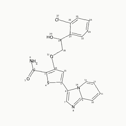 NC(=O)c1sc(-c2cnc3ccccn23)cc1OCC(O)c1ccccc1Cl